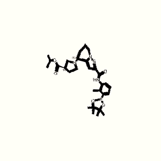 Cc1c(NC(=O)c2cc3n(n2)CCC[C@@H]3N2CC[C@@H](C(=O)OC(C)C)C2)cccc1B1OC(C)(C)C(C)(C)O1